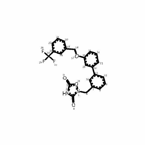 O=c1[nH]c(=O)n(Cc2cccc(-c3cccc(OCc4cccc(C(F)(F)F)c4)c3)c2)o1